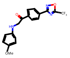 COc1ccc(NCC(=O)c2ccc(-c3noc(C(F)(F)F)n3)cc2)cc1